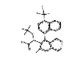 Cc1cc2ccccc2c(-c2ccc(C(F)(F)F)c3cccnc23)c1C(OC(C)(C)C)C(=O)O